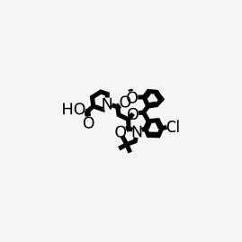 COc1ccccc1C1OC(CC(=O)N2CCCC(C(=O)O)C2)C(=O)N(CC(C)(C)C)c2ccc(Cl)cc21